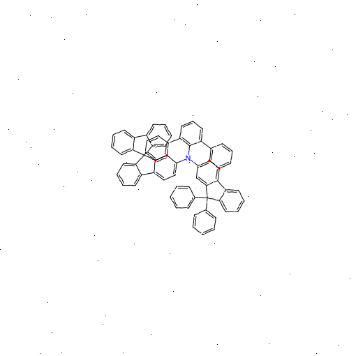 c1ccc(-c2cccc(-c3ccccc3)c2N(c2ccc3c(c2)C(c2ccccc2)(c2ccccc2)c2ccccc2-3)c2ccc3c(c2)C2(c4ccccc4-c4ccccc42)c2ccccc2-3)cc1